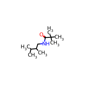 CC(C)C(C)CNC(=O)C(C)(C)C